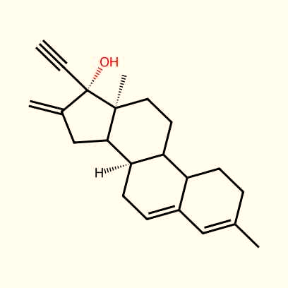 C#C[C@]1(O)C(=C)CC2[C@@H]3CC=C4C=C(C)CCC4C3CC[C@@]21C